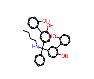 CCCCNC(c1ccccc1)(c1ccc(O)c(-c2ccccc2O)c1)c1ccc(O)c(-c2ccccc2O)c1